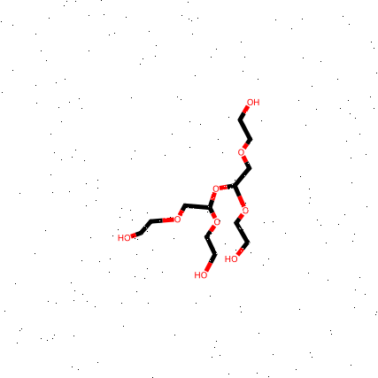 OCCOCC(OCCO)OC(COCCO)OCCO